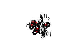 NCCCC[C@H](NC(=O)[C@H](Cc1c[nH]cn1)NC(c1ccccc1)(c1ccccc1)c1ccccc1)C(=O)N[C@@H](Cc1ccccc1)C(=O)N[C@@H](Cc1c[nH]c2ccccc12)C(=O)O